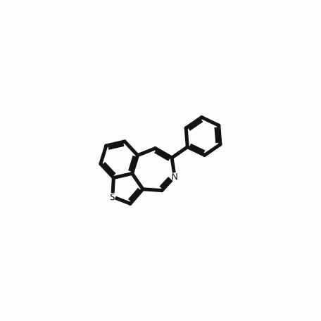 C1=NC(c2ccccc2)=Cc2cccc3scc1c23